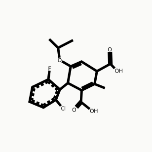 CC1=C(C(=O)O)C(c2c(F)cccc2Cl)C(OC(C)C)=CC1C(=O)O